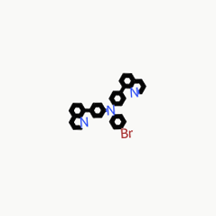 Brc1ccc(N(c2ccc(-c3cccc4cccnc34)cc2)c2ccc(-c3cccc4cccnc34)cc2)cc1